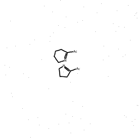 CC(=O)C1=NCCC1.CC(=O)C1=NCCCC1